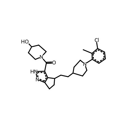 Cc1c(Cl)cccc1N1CCC(CCC2CCc3n[nH]c(C(=O)N4CCC(O)CC4)c32)CC1